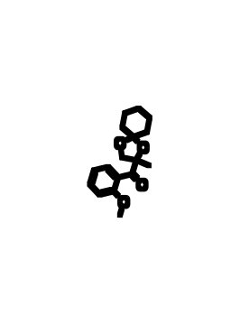 COc1ccccc1C(=O)C1(C)COC2(CCCCC2)O1